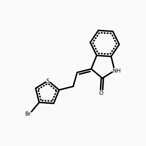 O=C1Nc2ccccc2C1=CCc1cc(Br)cs1